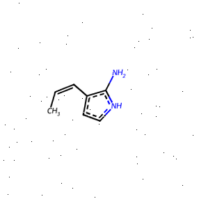 C/C=C\c1cc[nH]c1N